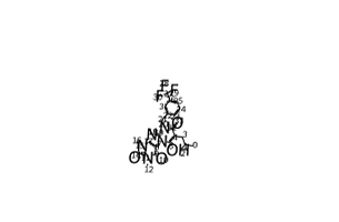 CC(C)Cc1c(O)n2c3c(=O)n(C)c(=O)n(C)c3nc2n(Cc2cccc(C(F)(F)F)c2)c1=O